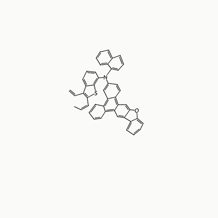 C=Cc1c(/C=C\C)sc2c(N(c3ccc4c(c3)c3ccccc3c3cc5c(cc43)oc3ccccc35)c3cccc4ccccc34)cccc12